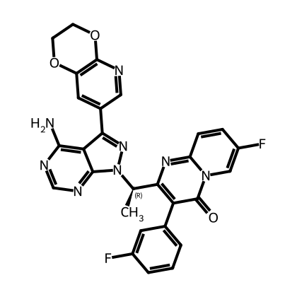 C[C@H](c1nc2ccc(F)cn2c(=O)c1-c1cccc(F)c1)n1nc(-c2cnc3c(c2)OCCO3)c2c(N)ncnc21